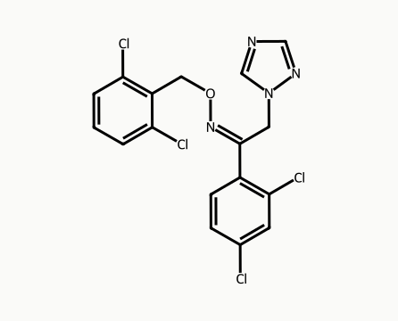 Clc1ccc(C(Cn2cncn2)=NOCc2c(Cl)cccc2Cl)c(Cl)c1